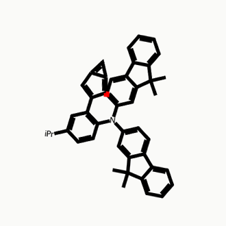 CC(C)c1ccc(N(c2ccc3c(c2)C(C)(C)c2ccccc2-3)c2ccc3c(c2)C(C)(C)c2ccccc2-3)c(-c2cc3cc-3c2)c1